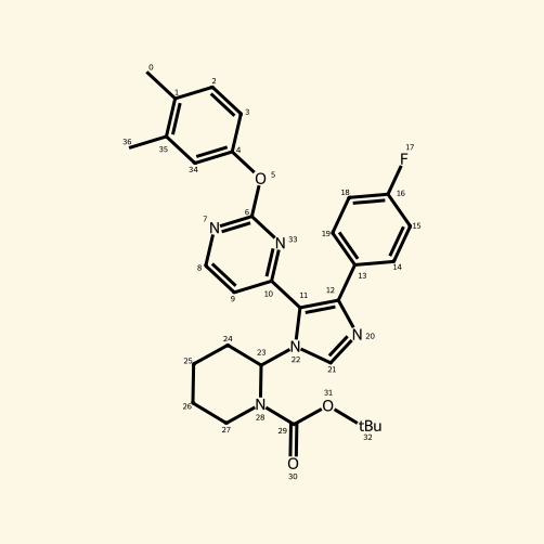 Cc1ccc(Oc2nccc(-c3c(-c4ccc(F)cc4)ncn3C3CCCCN3C(=O)OC(C)(C)C)n2)cc1C